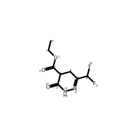 CCOC(=O)C1CC(C(F)F)=NNC1=O